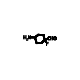 NC1CCC(F)(C=O)CC1